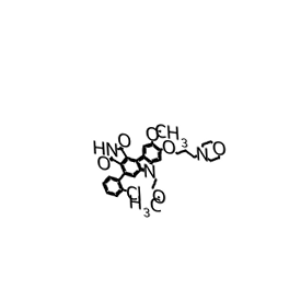 COCCn1c2cc(OCCCN3CCOCC3)c(OC)cc2c2c3c(c(-c4ccccc4Cl)cc21)C(=O)NC3=O